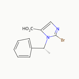 C[C@H](c1ccccc1)n1c(C(=O)O)cnc1Br